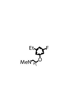 CCc1cc(F)cc(O[C@H](C)CNC)c1